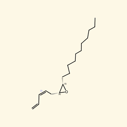 C=C/C=C\C[C@H]1O[C@H]1CCCCCCCCCCC